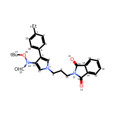 CCc1ccc(-c2cn(CCCN3C(=O)c4ccccc4C3=O)cc2N(C=O)OC(C)(C)C)cc1